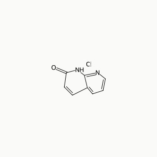 O=c1ccc2cccnc2[nH]1.[C]